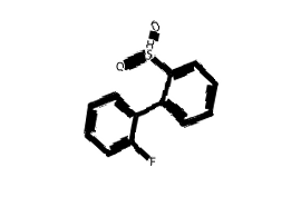 O=[SH](=O)c1ccccc1-c1ccccc1F